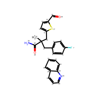 CC(Cc1ccc(F)cc1)(Cc1ccc(C=O)s1)C(N)=O.c1ccc2ncccc2c1